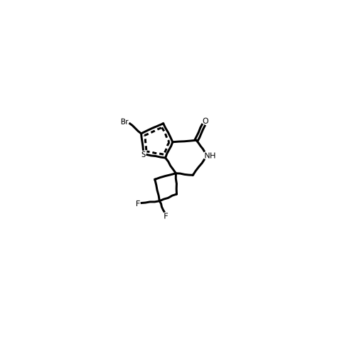 O=C1NCC2(CC(F)(F)C2)c2sc(Br)cc21